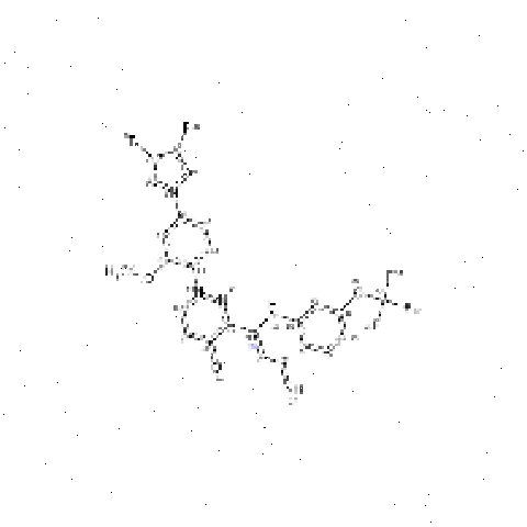 COc1cc(-n2cc(F)c(F)c2)ccc1-n1ccc(=O)c(/C(=C/C=N)Nc2cccc(OC(F)(F)F)c2)n1